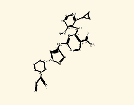 C=CC(=O)N1CCC[C@H](n2cc(Nc3ncc(C(N)=O)c(Nc4c(OC)ncnc4C4CC4)n3)cn2)C1